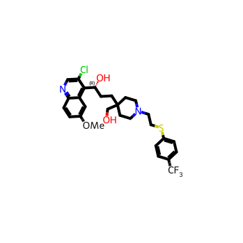 COc1ccc2ncc(Cl)c([C@H](O)CCC3(CO)CCN(CCSc4ccc(C(F)(F)F)cc4)CC3)c2c1